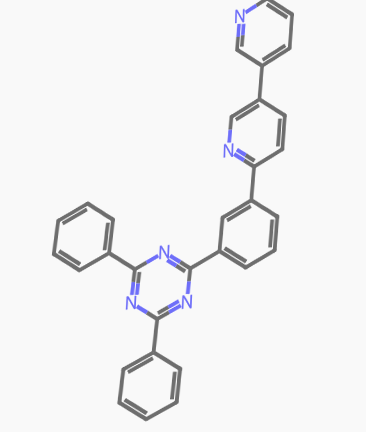 c1ccc(-c2nc(-c3ccccc3)nc(-c3cccc(-c4ccc(-c5cccnc5)cn4)c3)n2)cc1